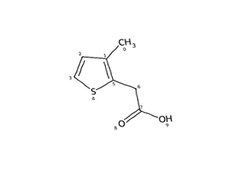 Cc1ccsc1CC(=O)O